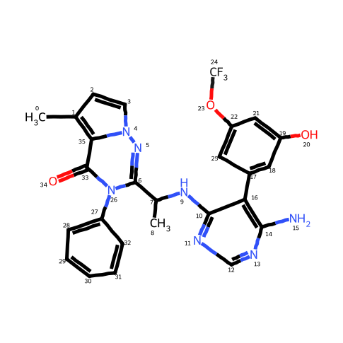 Cc1ccn2nc(C(C)Nc3ncnc(N)c3-c3cc(O)cc(OC(F)(F)F)c3)n(-c3ccccc3)c(=O)c12